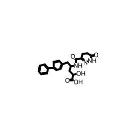 O=C1CCC(C(=O)NC(Cc2ccc(-c3ccccc3)cc2)CC(O)C(=O)O)=NN1